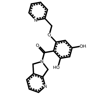 O=C(c1c(O)cc(O)cc1OCc1ccccn1)N1Cc2cccnc2C1